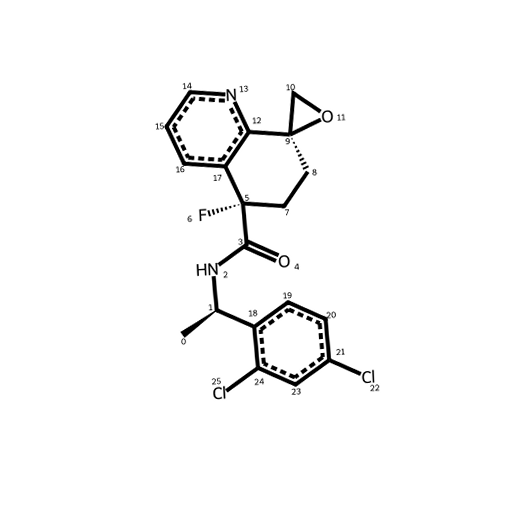 C[C@@H](NC(=O)[C@]1(F)CC[C@@]2(CO2)c2ncccc21)c1ccc(Cl)cc1Cl